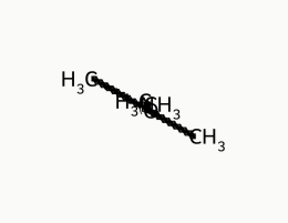 CCCCCC=CCC=CCCCCCCCCC[C@@H](COCCCCCCCCCCCCCCCC)N(C)C